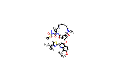 COc1ccc2c(O[C@@H]3C[C@H]4C(=O)NC5(C(=O)NS(=O)(=O)C6CC6)C[C@H]5/C=C/CCCCN(C)C(=O)[C@@H]4C3)cc(-c3nc(C(C)C)cs3)nc2c1C